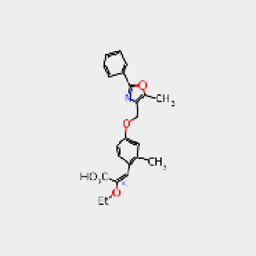 CCO/C(=C/c1ccc(OCc2nc(-c3ccccc3)oc2C)cc1C)C(=O)O